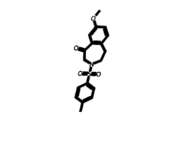 COc1ccc2c(c1)C(=O)CN(S(=O)(=O)c1ccc(C)cc1)CC2